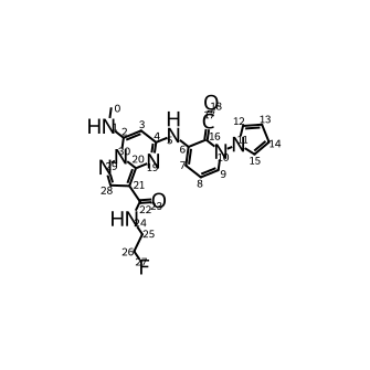 CNc1cc(NC2=CC=CN(n3cccc3)C2=C=O)nc2c(C(=O)NCCF)cnn12